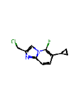 Fc1c(C2CC2)ccc2nc(CCl)cn12